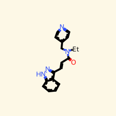 CCN(Cc1ccncc1)C(=O)C=Cc1n[nH]c2ccccc12